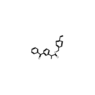 C=Cc1ccc(COC(=O)C(C)c2cccc(C(=O)c3ccccc3)c2)cc1